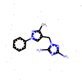 Cc1nn(-c2ccccc2)cc1Cn1nc(N)nc1N